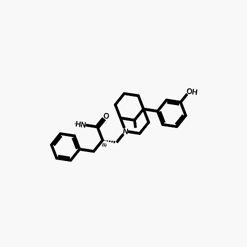 CC1C2CCCC1(c1cccc(O)c1)CCN2C[C@H](Cc1ccccc1)C([NH])=O